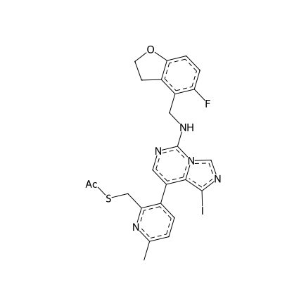 CC(=O)SCc1nc(C)ccc1-c1cnc(NCc2c(F)ccc3c2CCO3)n2cnc(I)c12